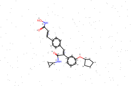 O=C(/C=C/c1ccc(/C=C(\C(=O)NC2CC2)c2cccc(OC3CCCC3)c2)cc1)NO